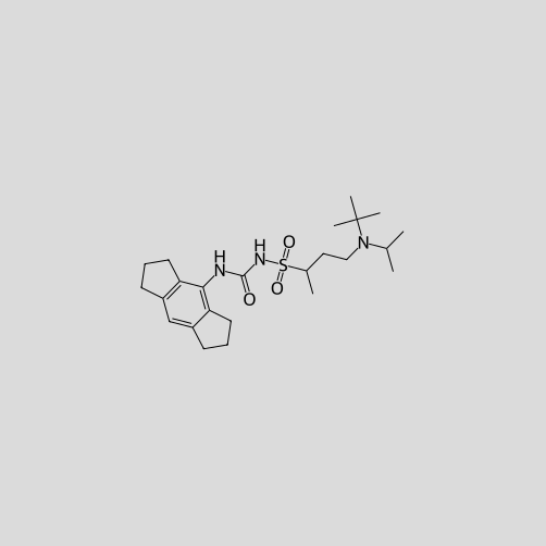 CC(C)N(CCC(C)S(=O)(=O)NC(=O)Nc1c2c(cc3c1CCC3)CCC2)C(C)(C)C